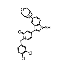 O=c1cc(-c2cn(S)c3ncc(N4C5CCC4COC5)cc23)ccn1Cc1ccc(Cl)c(Cl)c1